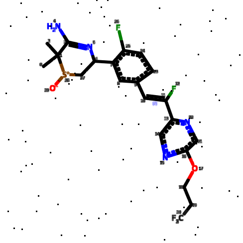 CC1(C)C(N)=NC(c2cc(/C=C(\F)c3cnc(OCCC(F)(F)F)cn3)ccc2F)C[S+]1[O-]